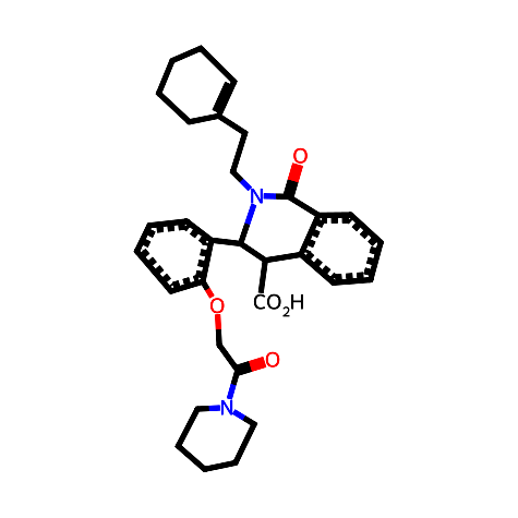 O=C(O)C1c2ccccc2C(=O)N(CCC2=CCCCC2)C1c1ccccc1OCC(=O)N1CCCCC1